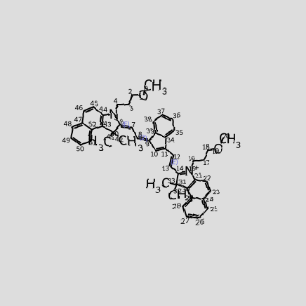 COCCCN1/C(=C/C=C2C=C(/C=C/C3=[N+](CCCOC)c4ccc5ccccc5c4C3(C)C)c3ccccc3/2)C(C)(C)c2c1ccc1ccccc21